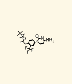 CC(Cc1ccc(-n2ccc(N)nc2=O)cc1C(F)(F)F)O[Si](C)(C)C(C)(C)C